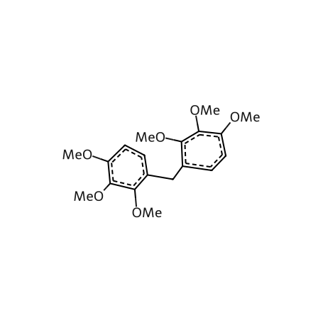 COc1ccc(Cc2ccc(OC)c(OC)c2OC)c(OC)c1OC